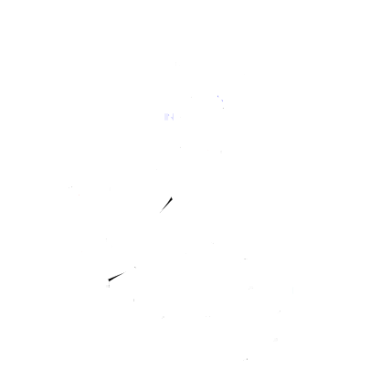 Cc1ccnc(NC(=O)CC[C@@H]2/C(=C/O)C(=O)[C@@]3(C)CCC4c5cccc(F)c5CCC4C23)c1